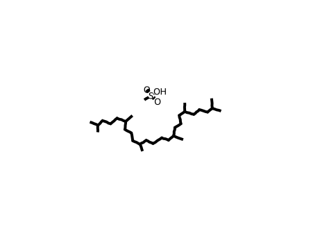 CC(C)CCCC(C)CCCC(C)CCCCC(C)CCCC(C)CCCC(C)C.CS(=O)(=O)O